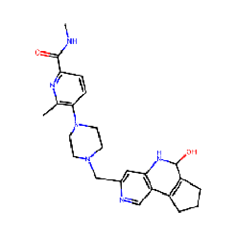 CNC(=O)c1ccc(N2CCN(Cc3cc4c(cn3)C3=C(CCC3)C(O)N4)CC2)c(C)n1